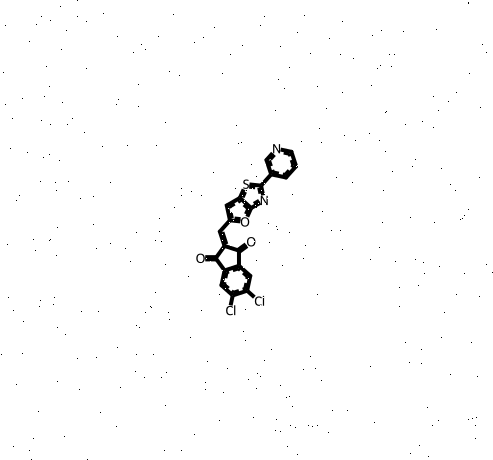 O=C1C(=Cc2cc3sc(-c4cccnc4)nc3o2)C(=O)c2cc(Cl)c(Cl)cc21